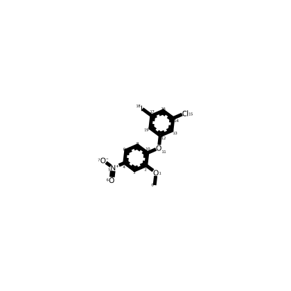 COc1cc([N+](=O)[O-])ccc1Oc1cc(Cl)cc(I)c1